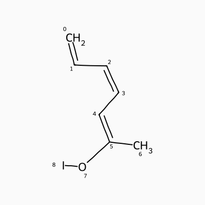 C=C/C=C\C=C(/C)OI